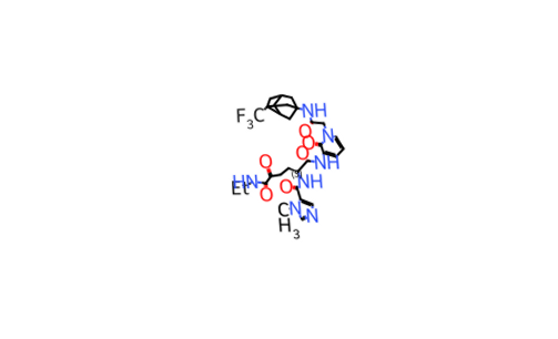 CCNC(=O)C(=O)CC[C@H](NC(=O)c1cncn1C)C(=O)Nc1cccn(CC(=O)NC23CC4CC(C2)C(C(F)(F)F)(C4)C3)c1=O